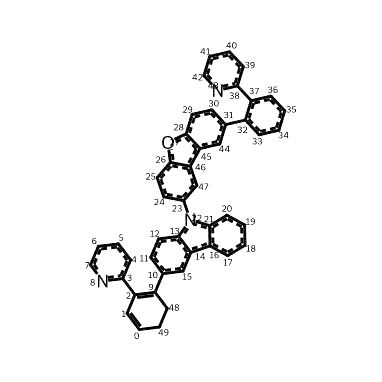 C1=CC(c2ccccn2)=C(c2ccc3c(c2)c2ccccc2n3-c2ccc3oc4ccc(-c5ccccc5-c5ccccn5)cc4c3c2)CC1